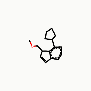 COCC1C=Cc2cccc(C3CCCC3)c21